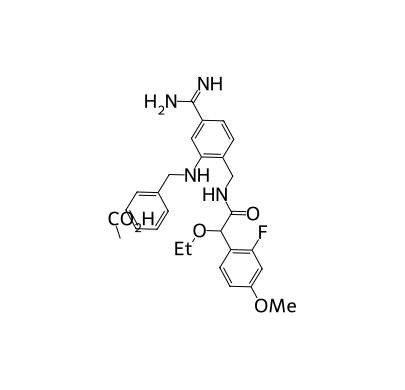 CC(=O)O.CCOC(C(=O)NCc1ccc(C(=N)N)cc1NCc1ccccc1)c1ccc(OC)cc1F